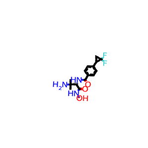 CC(C)(N)[C@H](NC(=O)c1ccc(C2CC2(F)F)cc1)C(=O)NO